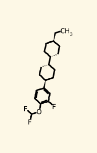 CC[C@H]1CC[C@H]([C@H]2CC[C@H](c3ccc(OC(F)F)c(F)c3)CC2)CC1